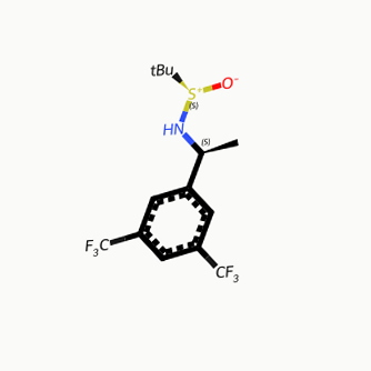 C[C@H](N[S@+]([O-])C(C)(C)C)c1cc(C(F)(F)F)cc(C(F)(F)F)c1